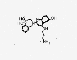 NCCCNc1cc(N2CCS(O)(O)c3ccccc3C2)nc2ccc(O)cc12